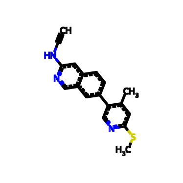 C#CNc1cc2ccc(-c3cnc(SC)cc3C)cc2cn1